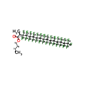 C=C(C(=O)OCCCC)C(F)(F)C(F)(F)C(F)(F)C(F)(F)C(F)(F)C(F)(F)C(F)(F)C(F)(F)C(F)(F)C(F)(F)C(F)(F)C(F)(F)C(F)(F)C(F)(F)F